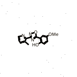 COc1ccc(O)c(-c2nc(-c3ncccc3C)no2)c1